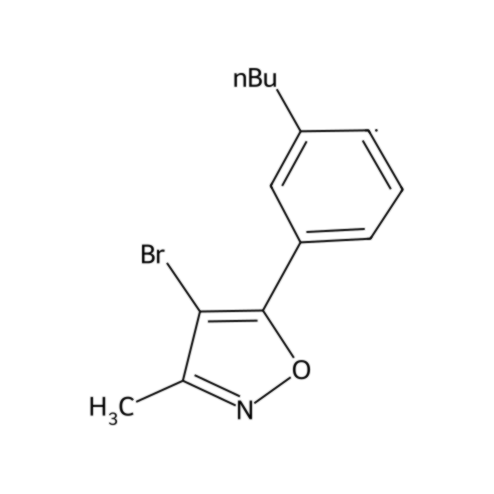 CCCCc1[c]ccc(-c2onc(C)c2Br)c1